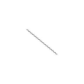 CCCCCCCCCCCCCCCCCCCCCCCCCCCCCCCC